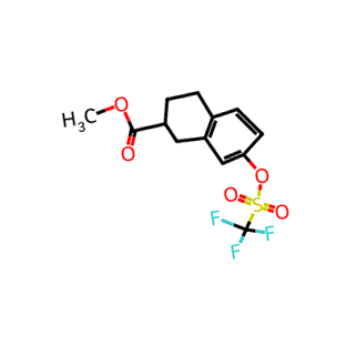 COC(=O)C1CCc2ccc(OS(=O)(=O)C(F)(F)F)cc2C1